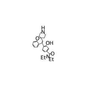 CCN(CC)C(=O)c1ccc(C2=CC3(CCNCC3)Oc3ccccc32)c(O)c1